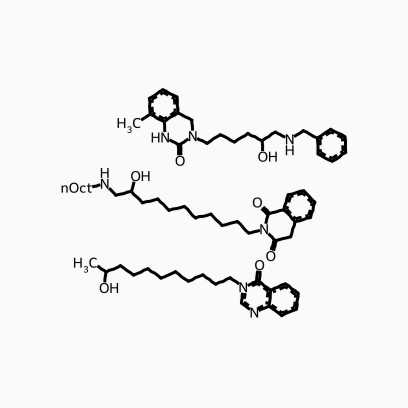 CC(O)CCCCCCCCCn1cnc2ccccc2c1=O.CCCCCCCCNCC(O)CCCCCCCCCN1C(=O)Cc2ccccc2C1=O.Cc1cccc2c1NC(=O)N(CCCCC(O)CNCc1ccccc1)C2